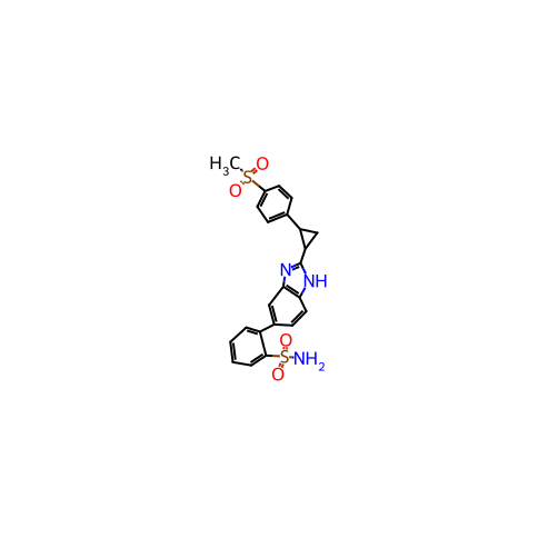 CS(=O)(=O)c1ccc(C2CC2c2nc3cc(-c4ccccc4S(N)(=O)=O)ccc3[nH]2)cc1